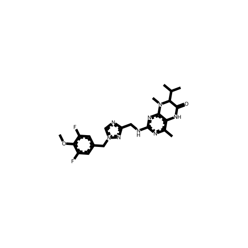 COc1c(F)cc(Cn2cnc(CNc3nc(C)c4c(n3)N(C)C(C(C)C)C(=O)N4)n2)cc1F